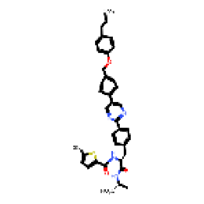 COCCc1ccc(OCc2ccc(-c3cnc(-c4ccc(C[C@H](NC(=O)c5ccc(C(C)(C)C)s5)C(=O)N[C@H](C)C(=O)O)cc4)nc3)cc2)cc1